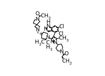 C=CC(=O)N1CCC(n2nc(N3CC[C@@H](CN4CC5(CCN(C(C)=O)C5)C4)CC3(C)C)c(-c3c(Cl)c(Cl)cc4[nH]ncc34)c2C)CC1